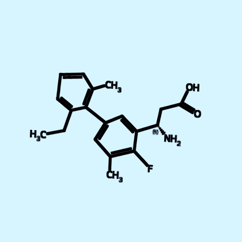 CCc1cccc(C)c1-c1cc(C)c(F)c([C@@H](N)CC(=O)O)c1